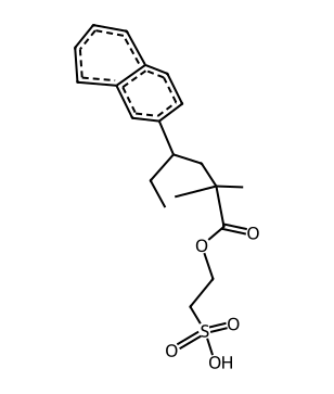 CCC(CC(C)(C)C(=O)OCCS(=O)(=O)O)c1ccc2ccccc2c1